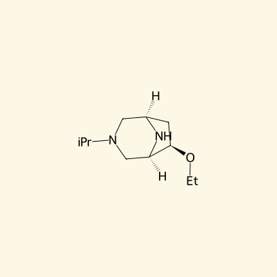 CCO[C@@H]1C[C@@H]2CN(C(C)C)C[C@H]1N2